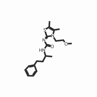 COCCn1c(C)c(C)sc1=NC(=O)NC(C)CCc1ccccc1